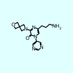 NCCCc1cn(-c2cncnc2)c(=O)c(N2CC3(COC3)C2)n1